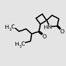 CCCC(CC)C(=O)C1CCC12CCC(=O)N2